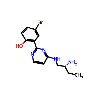 CC[C@@H](N)CNc1ccnc(-c2cc(Br)ccc2O)n1